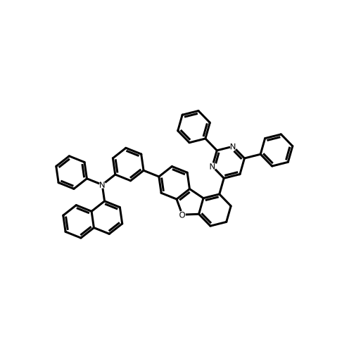 C1=c2oc3cc(-c4cccc(N(c5ccccc5)c5cccc6ccccc56)c4)ccc3c2=C(c2cc(-c3ccccc3)nc(-c3ccccc3)n2)CC1